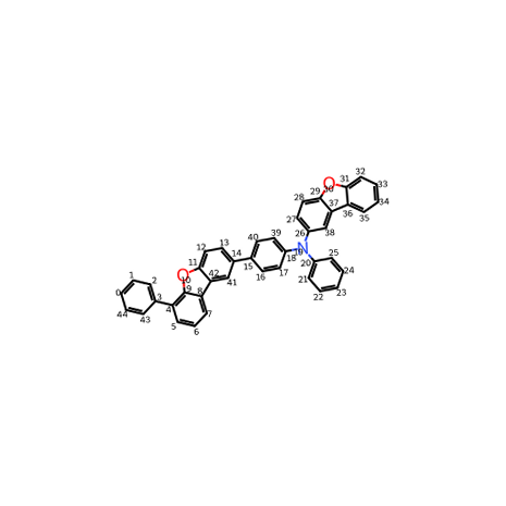 c1ccc(-c2cccc3c2oc2ccc(-c4ccc(N(c5ccccc5)c5ccc6oc7ccccc7c6c5)cc4)cc23)cc1